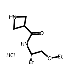 CCOC[C@H](CC)NC(=O)C1CNC1.Cl